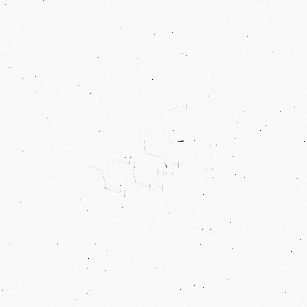 Cc1cn([C@@H]2O[C@H](CO)[C@@H](OP(=O)(O)O)[C@H]2O)c(N)nc1=O